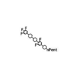 CCCCCC1CCC(c2cc(F)c(C3CCC(C4CCC(c5cc(F)c(F)c(F)c5)CC4)CC3)c(F)c2)CC1